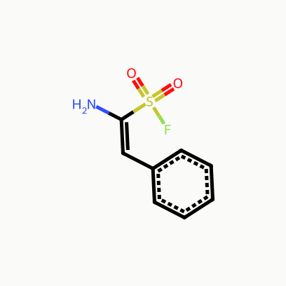 NC(=Cc1ccccc1)S(=O)(=O)F